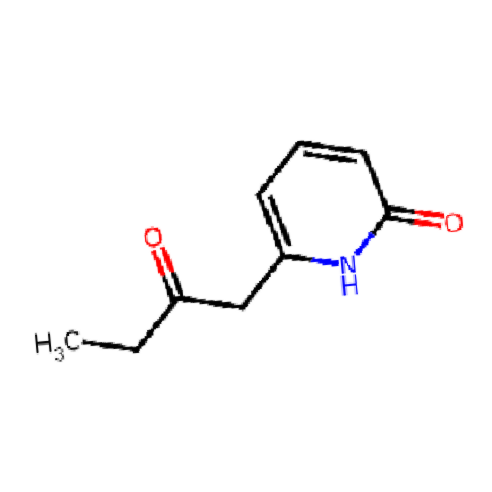 CCC(=O)Cc1cccc(=O)[nH]1